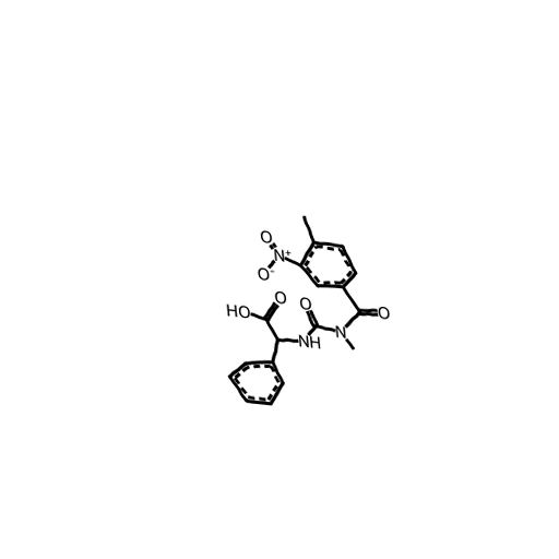 Cc1ccc(C(=O)N(C)C(=O)NC(C(=O)O)c2ccccc2)cc1[N+](=O)[O-]